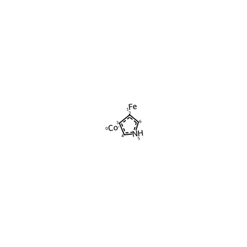 [Co].[Fe].c1cc[nH]c1